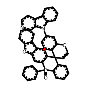 O=P1(c2ccccc2)c2ccccc2C2(c3ccccc3Oc3cc(-n4c5ccccc5c5ccncc54)ccc32)c2cc3c(cc21)oc1ccccc13